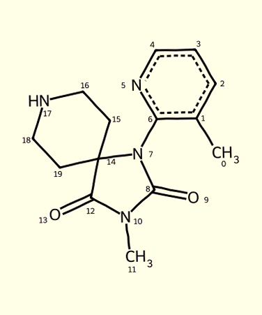 Cc1cccnc1N1C(=O)N(C)C(=O)C12CCNCC2